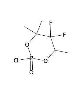 CC1OP(=O)(Cl)OC(C)(C)C1(F)F